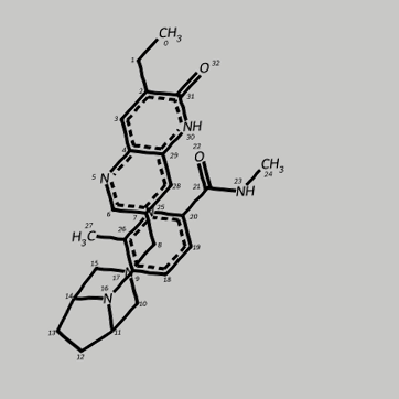 CCc1cc2ncc(CN3CC4CCC(C3)N4c3ccc(C(=O)NC)nc3C)cc2[nH]c1=O